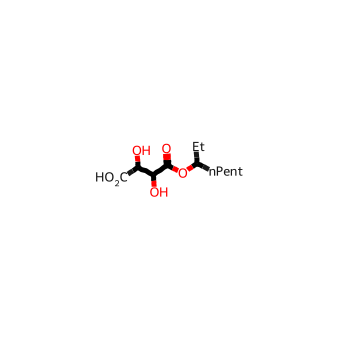 CCCCCC(CC)OC(=O)C(O)C(O)C(=O)O